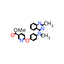 COC(=O)c1ccc(Oc2ccc(N(C)c3nc(C)nc4ccccc34)cc2)nc1